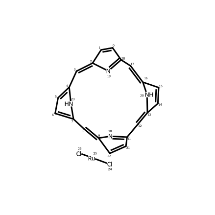 C1=Cc2cc3ccc(cc4nc(cc5ccc(cc1n2)[nH]5)C=C4)[nH]3.[Cl][Ru][Cl]